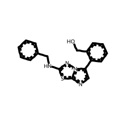 OCc1ccccc1-c1cnc2sc(NCc3ccccc3)nn12